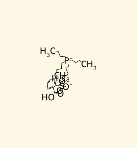 CCCC[P+](CCCC)(CCCC)CCCC.O=C(O)c1ccccc1S(=O)(=O)[O-]